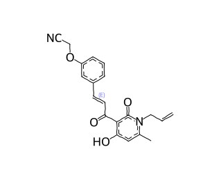 C=CCn1c(C)cc(O)c(C(=O)/C=C/c2cccc(OCC#N)c2)c1=O